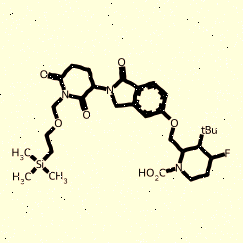 CC(C)(C)C1C(F)CCN(C(=O)O)C1COc1ccc2c(c1)CN(C1CCC(=O)N(COCC[Si](C)(C)C)C1=O)C2=O